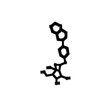 OCC1C(O)C(O)C2C(Oc3ccc(-c4ccc5ncncc5c4)cc3)OC12O